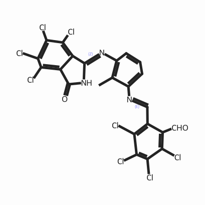 Cc1c(/N=C2\NC(=O)c3c(Cl)c(Cl)c(Cl)c(Cl)c32)cccc1/N=C/c1c(Cl)c(Cl)c(Cl)c(Cl)c1C=O